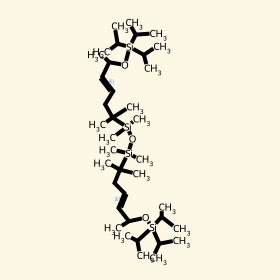 CC(/C=C/CC(C)(C)[Si](C)(C)O[Si](C)(C)C(C)(C)C/C=C/C(C)O[Si](C(C)C)(C(C)C)C(C)C)O[Si](C(C)C)(C(C)C)C(C)C